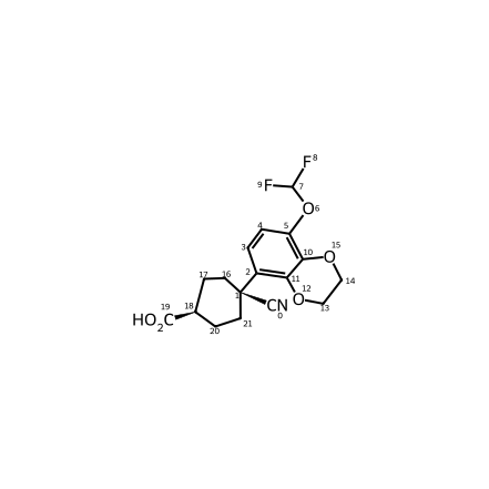 N#C[C@]1(c2ccc(OC(F)F)c3c2OCCO3)CC[C@H](C(=O)O)CC1